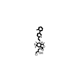 Cc1ccccc1-c1ccc(/C=C/[C@@H]2[C@@H]3[C@@H](C)OC(=O)[C@]3(NCC(O)CCl)CC(F)(F)[C@H]2C)nc1